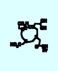 CC(C)NC(=O)CN1CCN(CC(=O)O)CCN(CC(=O)O)CCN(CC(O)O)CC1